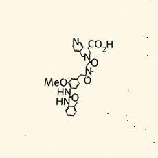 COc1cc(CC(=O)N(C)CC(=O)N(CCC(=O)O)Cc2ccncc2)ccc1NC(=O)Nc1ccccc1C